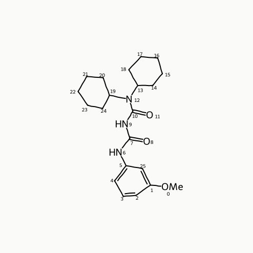 COc1cccc(NC(=O)NC(=O)N(C2CCCCC2)C2CCCCC2)c1